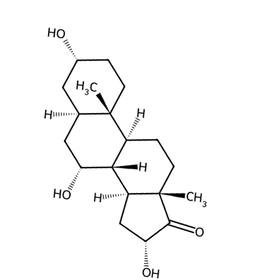 C[C@]12CC[C@@H](O)C[C@@H]1C[C@@H](O)[C@@H]1[C@@H]2CC[C@]2(C)C(=O)[C@H](O)C[C@@H]12